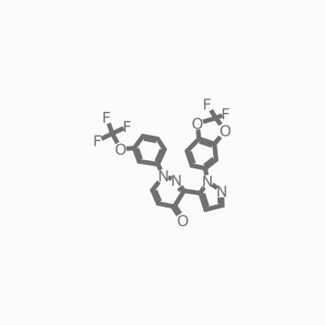 O=c1ccn(-c2cccc(OC(F)(F)F)c2)nc1-c1ccnn1-c1ccc2c(c1)OC(F)(F)O2